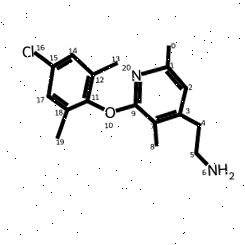 Cc1cc(CCN)c(C)c(Oc2c(C)cc(Cl)cc2C)n1